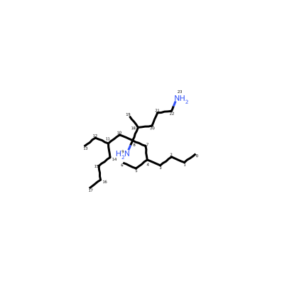 CCCCC(CC)CC(N)(CC(CC)CCCC)C(C)CCCN